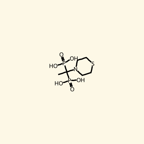 CC(N1CCSCC1)(P(=O)(O)O)P(=O)(O)O